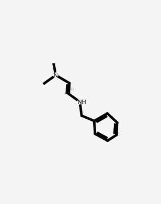 CN(C)/C=C/NCc1ccccc1